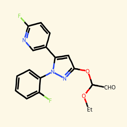 CCOC(C=O)Oc1cc(-c2ccc(F)nc2)n(-c2ccccc2F)n1